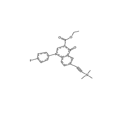 CCOC(=O)c1cn(-c2ccc(F)cc2)c2ccc(C#C[Si](C)(C)C)cc2c1=O